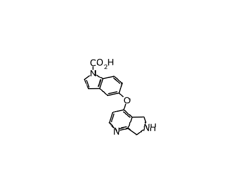 O=C(O)n1ccc2cc(Oc3ccnc4c3CNC4)ccc21